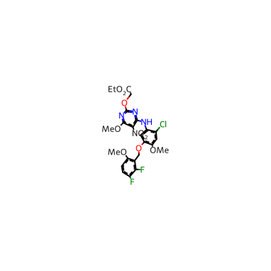 CCOC(=O)COc1nc(Nc2cc(OCc3c(OC)ccc(F)c3F)c(OC)cc2Cl)c([N+](=O)[O-])c(OC)n1